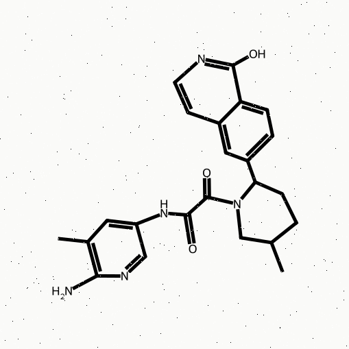 Cc1cc(NC(=O)C(=O)N2CC(C)CCC2c2ccc3c(O)nccc3c2)cnc1N